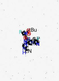 CC(C)(C)OC(=O)N1CC(F)C[C@@H]1COc1nc2c(c(N3CCN[C@@H](CC#N)C3)n1)CCN(c1cncc(F)c1C(F)(F)F)C2